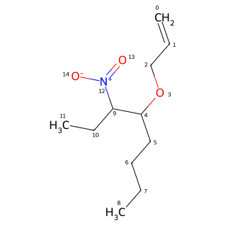 C=CCOC(CCCC)C(CC)[N+](=O)[O-]